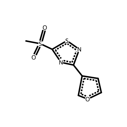 CS(=O)(=O)c1nc(-c2ccoc2)ns1